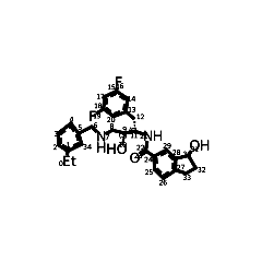 CCc1cccc(CNC[C@H](O)[C@H](Cc2cc(F)cc(F)c2)NC(=O)c2ccc3c(c2)C(O)CC3)c1